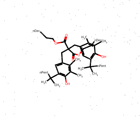 CCCCCCCCCCCCOC(=O)C(Cc1cc(C(C)(C)CCCCC)c(O)c(C)c1C)(Cc1cc(C(C)(C)CCCCC)c(O)c(C)c1C)C(=O)OCCCCCCCCCCCC